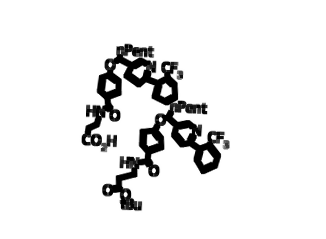 CCCCCC(Oc1ccc(C(=O)NCCC(=O)O)cc1)c1ccc(-c2ccccc2C(F)(F)F)nc1.CCCCCC(Oc1ccc(C(=O)NCCC(=O)OC(C)(C)C)cc1)c1ccc(-c2ccccc2C(F)(F)F)nc1